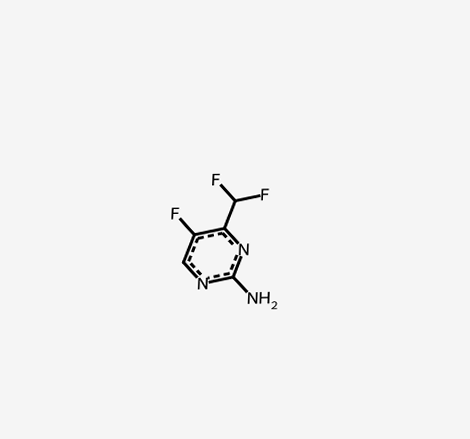 Nc1ncc(F)c(C(F)F)n1